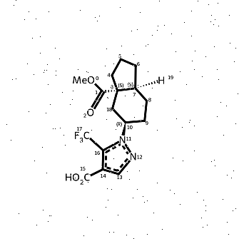 COC(=O)[C@]12CCC[C@H]1CC[C@@H](n1ncc(C(=O)O)c1C(F)(F)F)C2